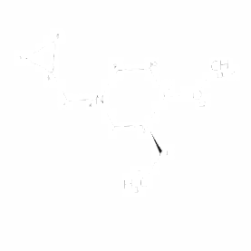 CC[C@H]1CN(CC2CC2)CC[C@@H]1OC